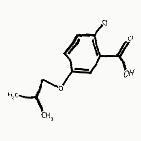 CC(C)COc1ccc(Cl)c(C(=O)O)c1